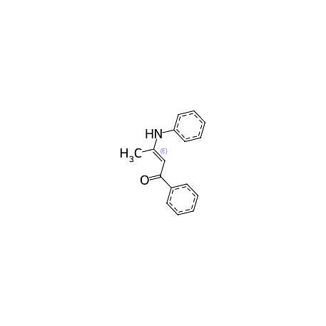 C/C(=C\C(=O)c1ccccc1)Nc1ccccc1